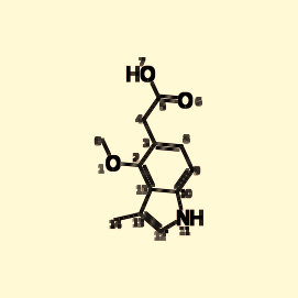 COc1c(CC(=O)O)ccc2[nH][c]c(C)c12